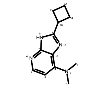 CN(C)c1ccnc2[nH]c(C3CCC3)nc12